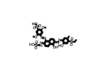 CCS(=O)(=O)c1cc(O)c(/N=N/c2ccc3c(/N=N/c4cc(OC)c(S(=O)(=O)O)cc4OC)c(NCS(=O)(=O)O)ccc3c2O)cc1C